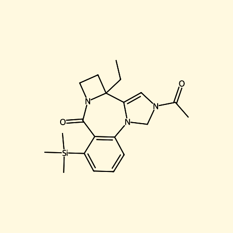 CCC12CCN1C(=O)c1c(cccc1[Si](C)(C)C)N1CN(C(C)=O)C=C12